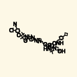 CC1(C)C(NC(=O)c2ccc(N3CCN(CCOCC(=O)N[C@H](C(=O)N4C[C@H](O)C[C@H]4C(=O)NCc4ccc(C5CCC5)cc4)C(C)(C)C)CC3)nc2)C(C)(C)C1Oc1ccc(C#N)c(Cl)c1